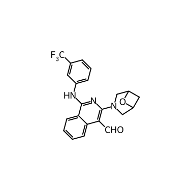 O=Cc1c(N2CC3CC(C2)O3)nc(Nc2cccc(C(F)(F)F)c2)c2ccccc12